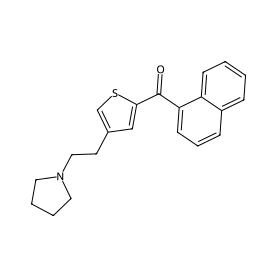 O=C(c1cc(CCN2CCCC2)cs1)c1cccc2ccccc12